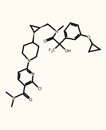 CN(C)C(=O)c1ccc(N2CCC([C@H]3C[C@H]3CN(C)C(=O)C(O)(c3cccc(OC4CC4)c3)C(F)(F)F)CC2)nc1Cl